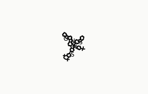 CC(C)(C)c1ccc(N2B3c4cc5sc6ccccc6c5cc4-n4c5ccc6c7ccccc7oc6c5c5ccc(c3c54)-c3cc4c(cc32)sc2cc3c(cc24)C(C)(C)CCC3(C)C)cc1